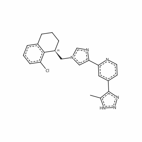 Cc1[nH]nnc1-c1ccnc(-c2cn(C[C@@H]3CCCc4cccc(Cl)c43)cn2)c1